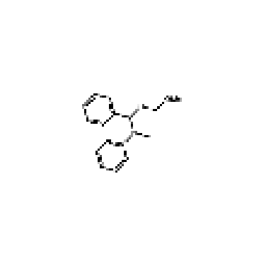 COCOC(c1ccccc1)N(C)c1ccccc1